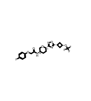 O=C(COc1ccc(F)cc1)N[C@@H]1CC[C@@H](c2noc([C@H]3C[C@@H](OC(F)(F)F)C3)n2)OC1